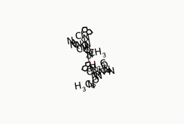 COC1CN(c2nc(OC[C@@H]3CCCN3C)nc3c2CCN(c2cc(C4C[C@@H](COc5nc6c(c(N7Cc8cncn8CC7C)n5)CCN(c5cccc7cccc(Cl)c57)C6)N(C)C4)cc4cccc(Cl)c24)C3)Cc2cncn21